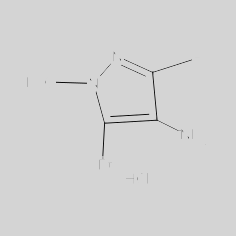 CCc1nn(C)c(CC)c1N.Cl